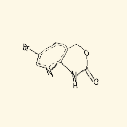 O=C1Nc2ncc(Br)cc2CO1